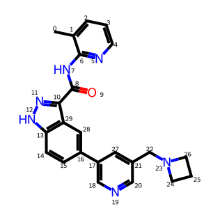 Cc1cccnc1NC(=O)c1n[nH]c2ccc(-c3cncc(CN4CCC4)c3)cc12